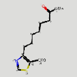 COC(=O)CCCCCCc1ncsc1C=O